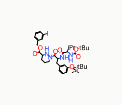 CC(C)C(NC(=O)OC(C)(C)C)C(=O)NC(Cc1cccc(O[Si](C)(C)C(C)(C)C)c1)C(=O)N1CCCC(C(=O)OCc2cccc(I)c2)N1